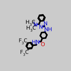 CN(C)c1nc(NC2CCC(C(=O)NCc3cc(C(F)(F)F)cc(C(F)(F)F)c3)CC2)nc2ccccc12